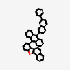 c1ccc(-c2ccc3ccc(-c4c5ccccc5c(-c5cccc6oc7c8ccccc8ccc7c56)c5ccccc45)cc3c2)cc1